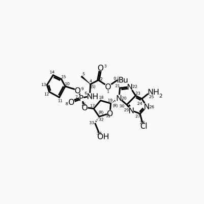 CCC(C)OC(=O)[C@H](C)NP(=O)(Oc1ccccc1)OC1C[C@H](n2cnc3c(N)nc(Cl)nc32)O[C@@H]1CO